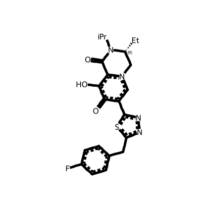 CC[C@@H]1Cn2cc(-c3nnc(Cc4ccc(F)cc4)s3)c(=O)c(O)c2C(=O)N1C(C)C